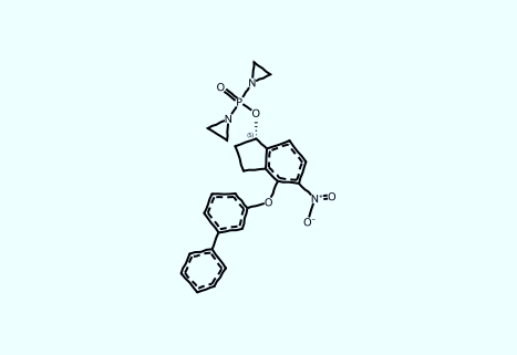 O=[N+]([O-])c1ccc2c(c1Oc1cccc(-c3ccccc3)c1)CC[C@@H]2OP(=O)(N1CC1)N1CC1